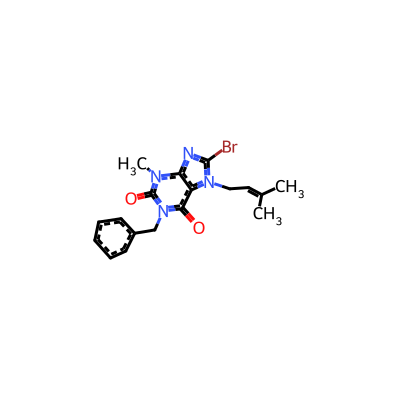 CC(C)=CCn1c(Br)nc2c1c(=O)n(Cc1ccccc1)c(=O)n2C